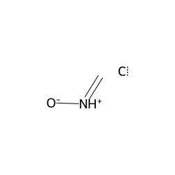 C=[NH+][O-].[C]